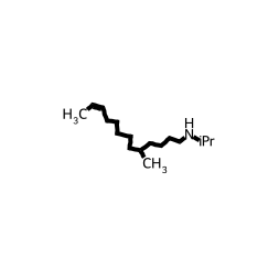 C/C=C\CCCCCC(C)CCCCNC(C)C